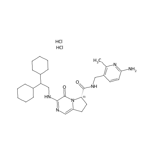 Cc1nc(N)ccc1CNC(=O)[C@@H]1CCc2cnc(NCC(C3CCCCC3)C3CCCCC3)c(=O)n21.Cl.Cl